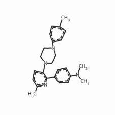 Cc1ccc(N2CCN(c3ccc(C)nc3-c3ccc(N(C)C)cc3)CC2)cc1